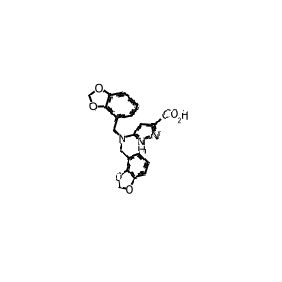 O=C(O)c1cc(N(Cc2cccc3c2OCO3)Cc2cccc3c2OCO3)[nH]n1